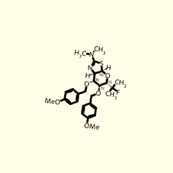 COc1ccc(CO[C@@H]2[C@H]3N=C(N(C)C)S[C@H]3O[C@H](C(C)(C)F)[C@H]2OCc2ccc(OC)cc2)cc1